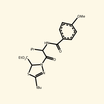 CCOC(=O)C1SC(C(C)(C)C)=NN1C(=O)C(NC(=O)c1ccc(OC)cc1)C(C)C